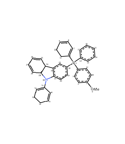 COc1ccc([Si](C2=CC=CCC2)(c2ccccc2)c2ccc3c(c2)C2C=CC=CC2N3C2=CCCC=C2)cc1